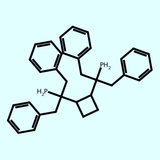 PC(Cc1ccccc1)(Cc1ccccc1)C1CCC1C(P)(Cc1ccccc1)Cc1ccccc1